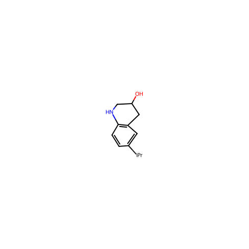 CC(C)c1ccc2c(c1)CC(O)CN2